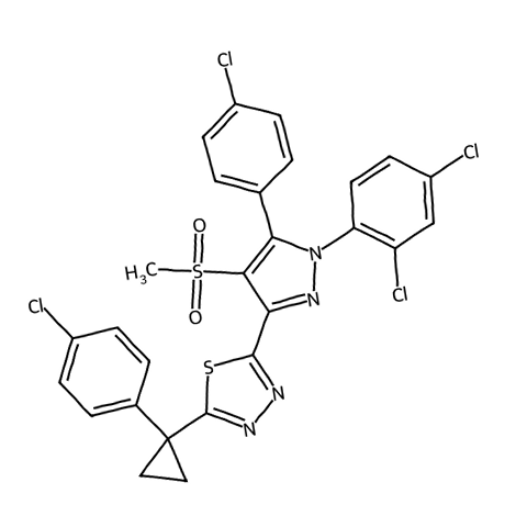 CS(=O)(=O)c1c(-c2nnc(C3(c4ccc(Cl)cc4)CC3)s2)nn(-c2ccc(Cl)cc2Cl)c1-c1ccc(Cl)cc1